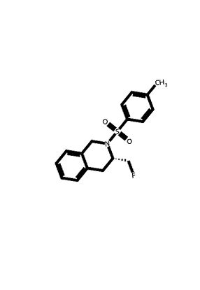 Cc1ccc(S(=O)(=O)N2Cc3ccccc3C[C@H]2CF)cc1